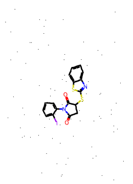 O=C1CC(Sc2nc3ccccc3s2)C(=O)N1c1ccccc1I